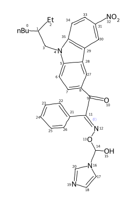 CCCCC(CC)Cn1c2ccc(C(=O)/C(=N/OC(O)n3ccnc3)c3ccccc3)cc2c2cc([N+](=O)[O-])ccc21